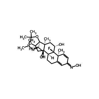 CN(C)/N=C(/CO)[C@@]12OC(C)(C)O[C@@H]1C[C@H]1[C@@H]3CCC4=C/C(=N/O)C=C[C@]4(C)[C@@]3(F)[C@@H](O)C[C@@]12C